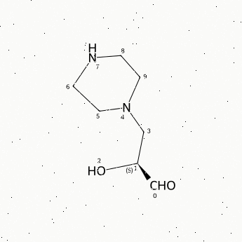 O=C[C@@H](O)CN1CCNCC1